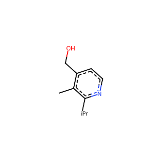 Cc1c(CO)ccnc1C(C)C